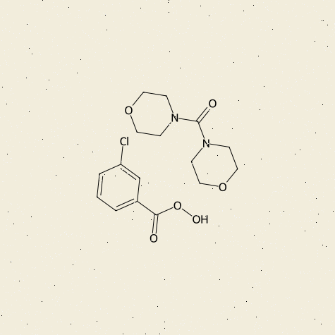 O=C(N1CCOCC1)N1CCOCC1.O=C(OO)c1cccc(Cl)c1